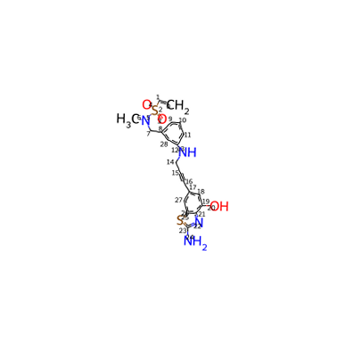 C=CS(=O)(=O)N(C)Cc1cccc(NCC#Cc2cc(O)c3nc(N)sc3c2)c1